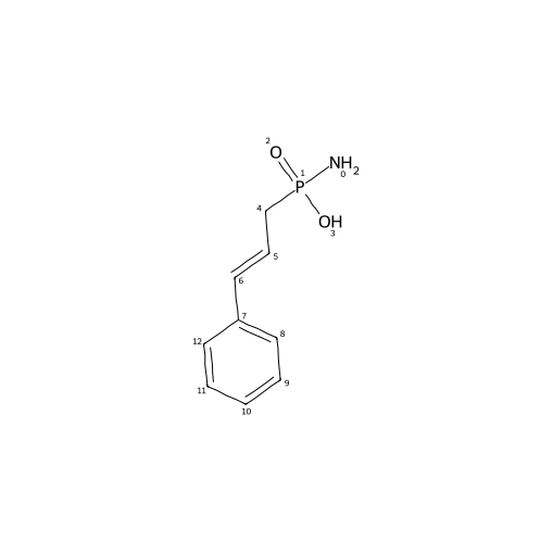 NP(=O)(O)CC=Cc1ccccc1